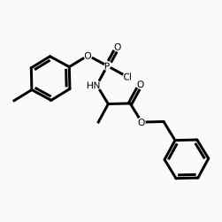 Cc1ccc(OP(=O)(Cl)NC(C)C(=O)OCc2ccccc2)cc1